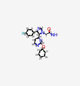 [NH]C(=O)Cn1cnc(-c2ccc(F)cc2)c1-c1ccnc(Oc2ccccc2)n1